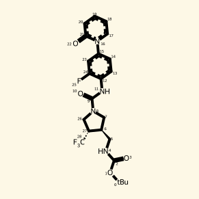 CC(C)(C)OC(=O)NC[C@@H]1CN(C(=O)Nc2ccc(-n3ccccc3=O)cc2F)C[C@H]1C(F)(F)F